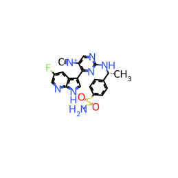 [C-]#[N+]c1cnc(N[C@H](C)c2ccc(S(N)(=O)=O)cc2)nc1-c1c[nH]c2ncc(F)cc12